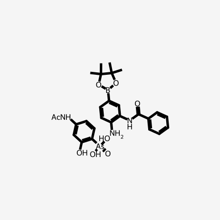 CC(=O)Nc1ccc([As](=O)(O)O)c(O)c1.CC1(C)OB(c2ccc(N)c(NC(=O)c3ccccc3)c2)OC1(C)C